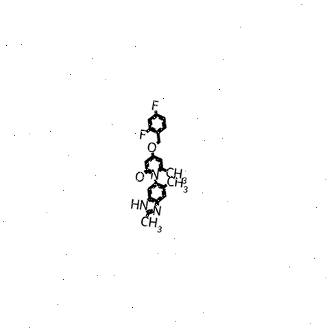 Cc1nc2cc(C)c(-n3c(C)cc(OCc4ccc(F)cc4F)cc3=O)cc2[nH]1